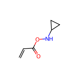 C=CC(=O)ONC1CC1